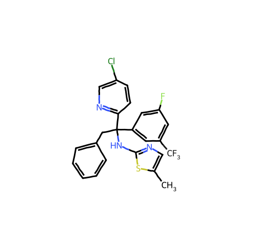 Cc1cnc(NC(Cc2ccccc2)(c2cc(F)cc(C(F)(F)F)c2)c2ccc(Cl)cn2)s1